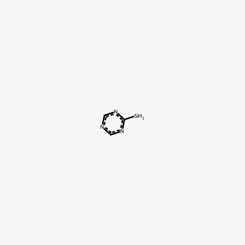 [SiH3]c1ncncn1